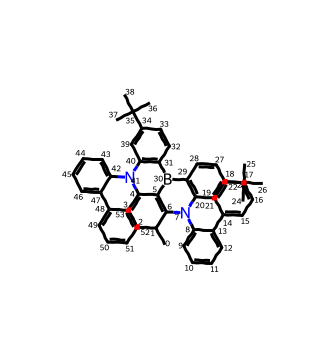 CC1CC=C2C3=C1N(c1ccccc1-c1ccccc1)c1cc(C(C)(C)C)ccc1B3c1ccc(C(C)(C)C)cc1N2c1ccccc1-c1ccccc1